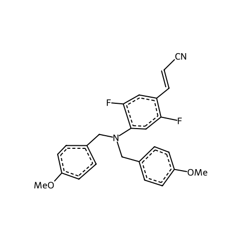 COc1ccc(CN(Cc2ccc(OC)cc2)c2cc(F)c(/C=C/C#N)cc2F)cc1